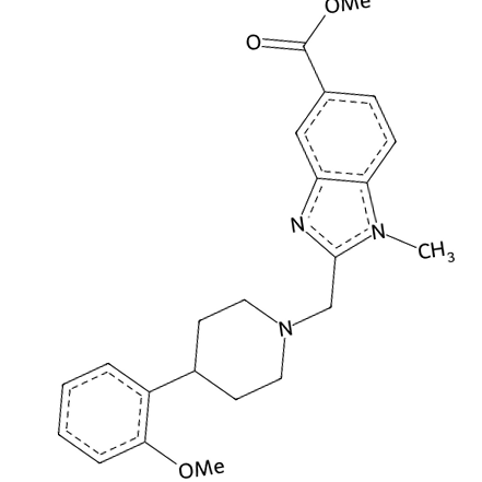 COC(=O)c1ccc2c(c1)nc(CN1CCC(c3ccccc3OC)CC1)n2C